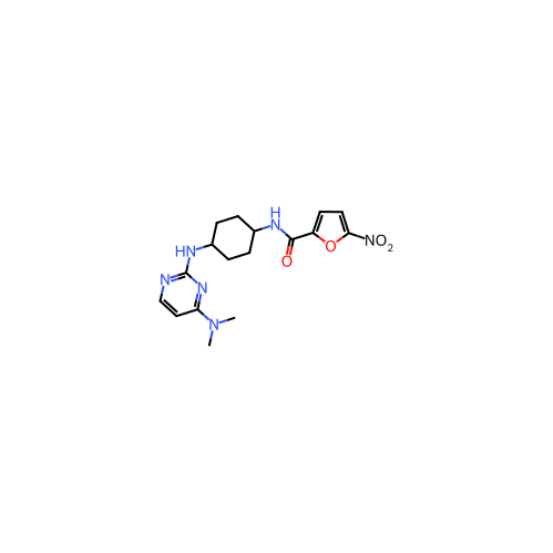 CN(C)c1ccnc(NC2CCC(NC(=O)c3ccc([N+](=O)[O-])o3)CC2)n1